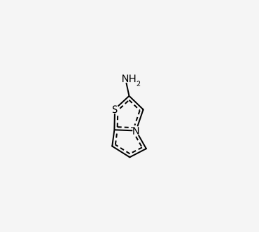 Nc1cn2cccc2s1